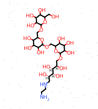 NCCNC[C@H](O)[C@@H](O)[C@H](O)[C@H](O)COC1OC(COC2OC(COC3OC(CO)C(O)C(O)C3O)C(O)C(O)C2O)C(O)C(O)C1O